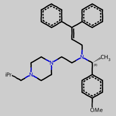 COc1ccc([C@@H](C)N(CC=C(c2ccccc2)c2ccccc2)CCN2CCN(CC(C)C)CC2)cc1